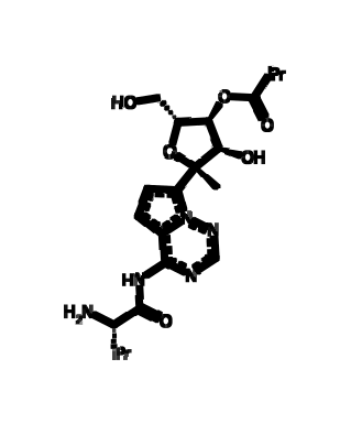 CC(C)C(=O)O[C@H]1[C@@H](O)[C@](C)(c2ccc3c(NC(=O)[C@@H](N)C(C)C)ncnn23)O[C@@H]1CO